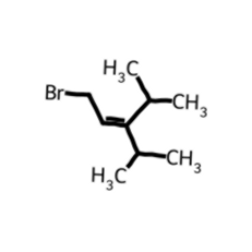 CC(C)C(=CCBr)C(C)C